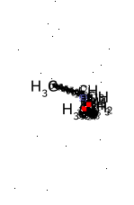 CCCCCCCCCCCC(C)/C=C/[C@@H](CC(C)(C)[Si](O)(c1ccccc1)c1ccccc1)[C@@H](N)CO